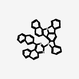 c1ccc2cc(-c3nc(-n4c5ccccc5c5cc6c7ccccc7n7c8c9ccccc9ccc8c(c54)c67)nc4ccc5ccccc5c34)ccc2c1